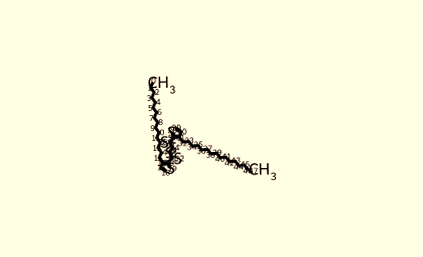 CCCCCCCCCCCCCCCCc1ccsc1C(=S)SSC(=S)c1sccc1CCCCCCCCCCCCCCCC